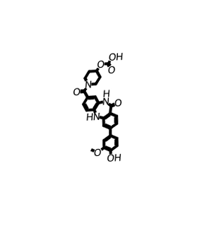 COc1cc(-c2ccc3c(c2)Nc2ccc(C(=O)N4CCC(OC(=O)O)CC4)cc2NC3=O)ccc1O